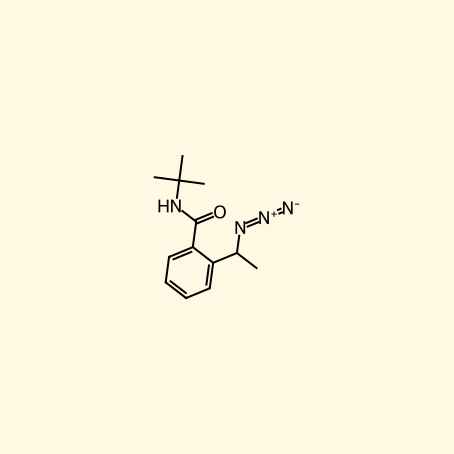 CC(N=[N+]=[N-])c1ccccc1C(=O)NC(C)(C)C